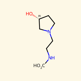 O=C(O)NCCN1CC[C@@H](O)C1